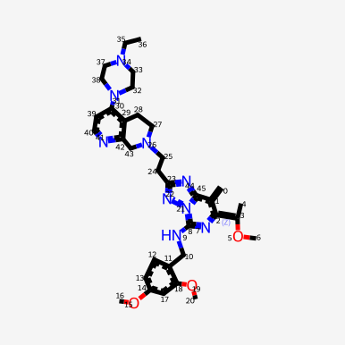 C=c1/c(=C(\C)OC)nc(NCc2ccc(OC)cc2OC)n2nc(CCN3CCc4c(N5CCN(CC)CC5)ccnc4C3)nc12